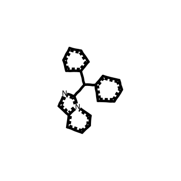 c1ccc(C(c2ccccc2)c2ncc3ccccn23)cc1